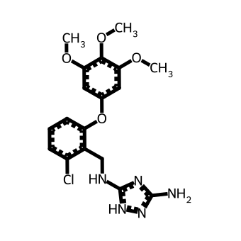 COc1cc(Oc2cccc(Cl)c2CNc2nc(N)n[nH]2)cc(OC)c1OC